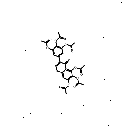 CC(=O)Oc1cc(-c2coc3cc(OC(C)=O)c(OC(C)=O)c(OC(C)=O)c3c2=O)cc(OC(C)=O)c1OC(C)=O